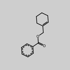 O=C(OCC1=CCCCC1)c1ccccc1